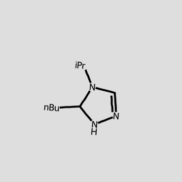 CCCCC1NN=CN1C(C)C